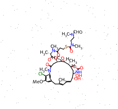 COc1cc2cc(c1Cl)N(C)C(=O)C[C@H](OC(=O)[C@H](C)N(C)C(=O)CCSC(=O)N(C)CCN(C)C=O)[C@]1(C)O[C@H]1[C@H](C)[C@@H]1C[C@@](O)(NC(=O)O1)[C@H](O)/C=C/C=C(\C)C2